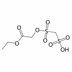 CCOC(=O)COS(=O)(=O)CS(=O)(=O)O